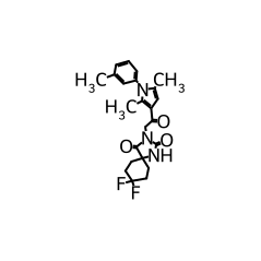 Cc1cccc(-n2c(C)cc(C(=O)CN3C(=O)NC4(CCC(F)(F)CC4)C3=O)c2C)c1